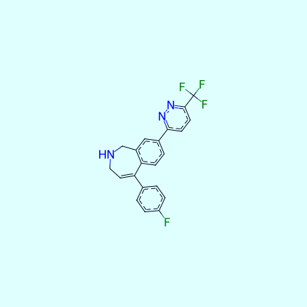 Fc1ccc(C2=CCNCc3cc(-c4ccc(C(F)(F)F)nn4)ccc32)cc1